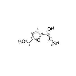 N=C=C(O)c1ccc(CO)o1